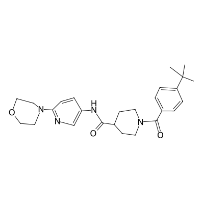 CC(C)(C)c1ccc(C(=O)N2CCC(C(=O)Nc3ccc(N4CCOCC4)nc3)CC2)cc1